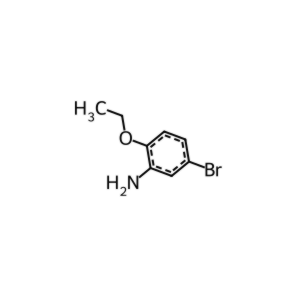 CCOc1ccc(Br)cc1N